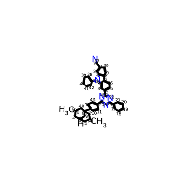 C[C@@H]1C[C@@H]2C[C@H](C)CC(c3ccc(-c4nc(-c5ccccc5)nc(-c5ccc6c7ccc(C#N)cc7n(-c7ccccc7)c6c5)n4)cc3)(C1)C2